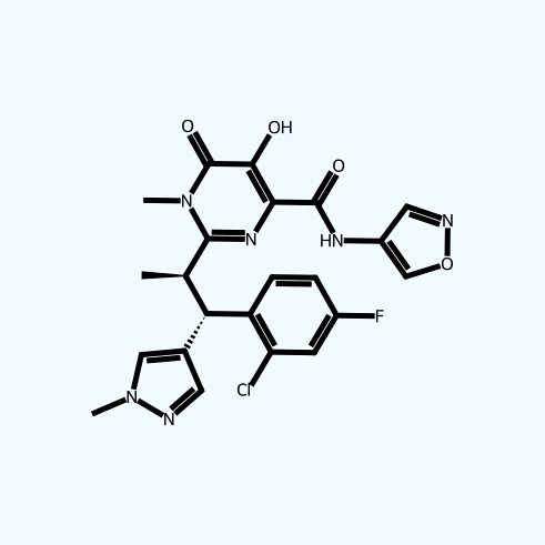 C[C@@H](c1nc(C(=O)Nc2cnoc2)c(O)c(=O)n1C)[C@@H](c1cnn(C)c1)c1ccc(F)cc1Cl